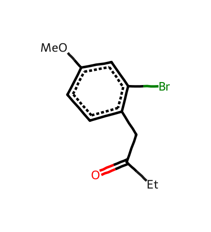 CCC(=O)Cc1ccc(OC)cc1Br